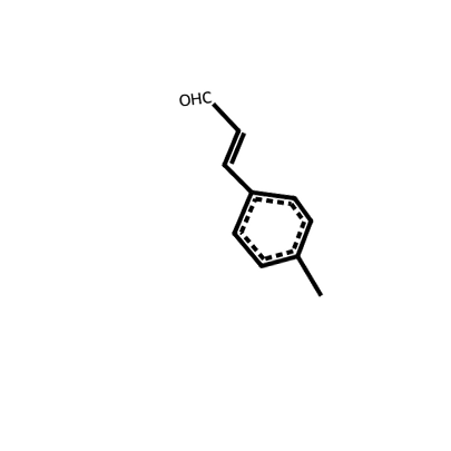 Cc1ccc(/C=C/C=O)cc1